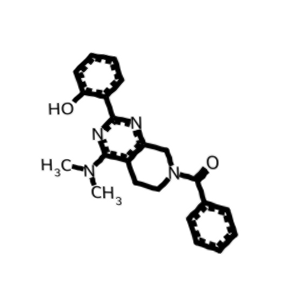 CN(C)c1nc(-c2ccccc2O)nc2c1CCN(C(=O)c1ccccc1)C2